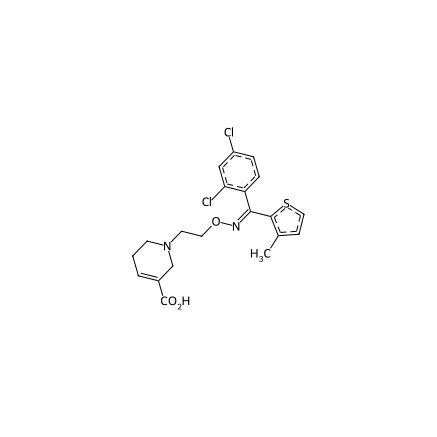 Cc1ccsc1C(=NOCCN1CCC=C(C(=O)O)C1)c1ccc(Cl)cc1Cl